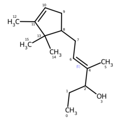 CCC(O)/C(C)=C/CC1CC=C(C)C1(C)C